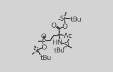 CC(=O)C(CCP(C)(=O)O[Si](C)(C)C(C)(C)C)(N[Si](C)(C)C(C)(C)C)C(=O)O[Si](C)(C)C(C)(C)C